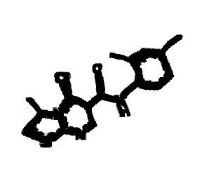 Cc1ccc(NC(=O)c2cnc3scc(C)n3c2=O)c(C)c1